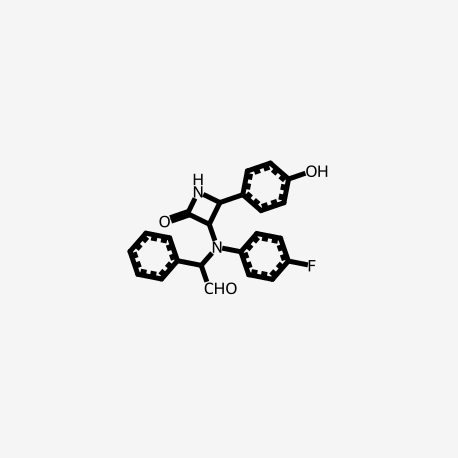 O=CC(c1ccccc1)N(c1ccc(F)cc1)C1C(=O)NC1c1ccc(O)cc1